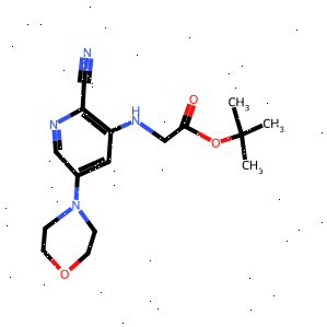 CC(C)(C)OC(=O)CNc1cc(N2CCOCC2)cnc1C#N